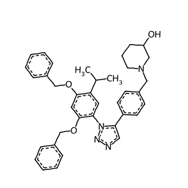 CC(C)c1cc(-n2nncc2-c2ccc(CN3CCCC(O)C3)cc2)c(OCc2ccccc2)cc1OCc1ccccc1